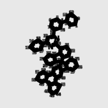 c1ccc(-c2cccc(-c3cc(-c4ccccc4)nc(-c4cccc5c4-c4ccccc4C54c5ccccc5-c5cc6c7ccccc7c7ccccc7c6cc54)n3)c2)cc1